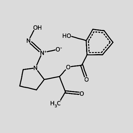 CC(=O)C(OC(=O)c1ccccc1O)C1CCCN1[N+]([O-])=NO